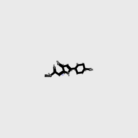 COC(=O)/C=C1/OC(C2CCC(Cl)CC2)=CC1=O